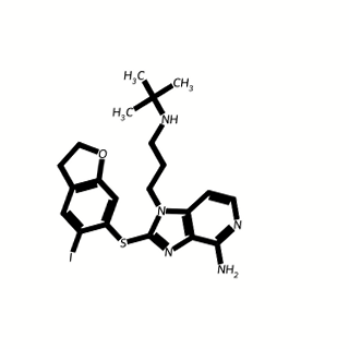 CC(C)(C)NCCCn1c(Sc2cc3c(cc2I)CCO3)nc2c(N)nccc21